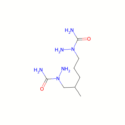 CC(CCCN(N)C(N)=O)CN(N)C(N)=O